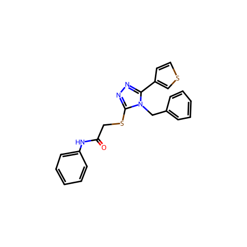 O=C(CSc1nnc(-c2ccsc2)n1Cc1ccccc1)Nc1ccccc1